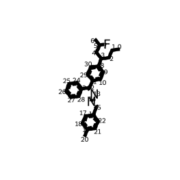 CCCC(CC(C)F)c1ccc(C(=NN=Cc2ccc(C)cc2)c2ccccc2)cc1